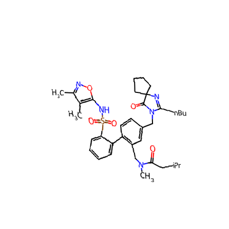 CCCCC1=NC2(CCCC2)C(=O)N1Cc1ccc(-c2ccccc2S(=O)(=O)Nc2onc(C)c2C)c(CN(C)C(=O)CC(C)C)c1